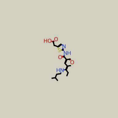 CC/C(NCCC(C)C)=C(C)/C=C(\C=O)C(=O)Nc1ncc(CC(=O)O)s1